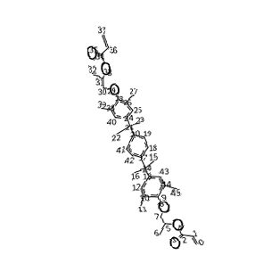 C=CC(=O)OC(C)COc1c(C)cc(C(C)(C)c2ccc(C(C)(C)c3cc(C)c(OCC(C)OC(=O)C=C)c(C)c3)cc2)cc1C